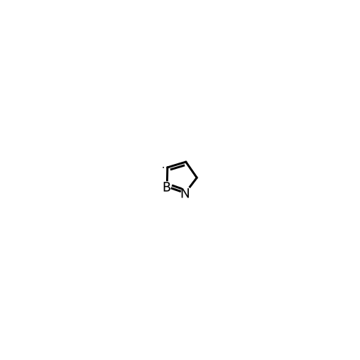 B1=NCC=[C]1